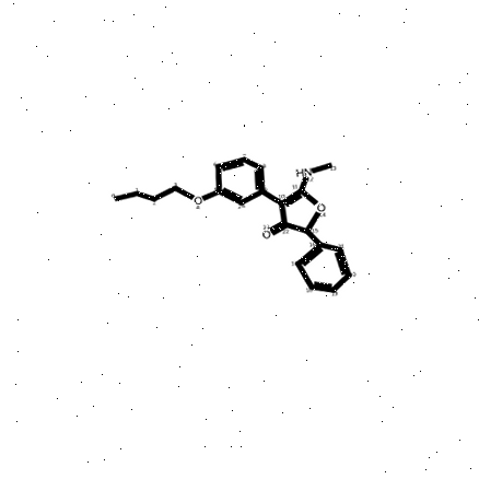 CCCCOc1cccc(C2=C(NC)OC(c3ccccc3)C2=O)c1